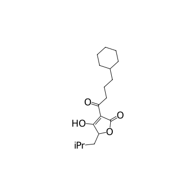 CC(C)CC1OC(=O)C(C(=O)CCCC2CCCCC2)=C1O